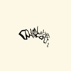 Nc1ncnn2c(C3CCc4ccccc4C3)nc(-c3ccc(C(F)(F)F)c(O)c3)c12